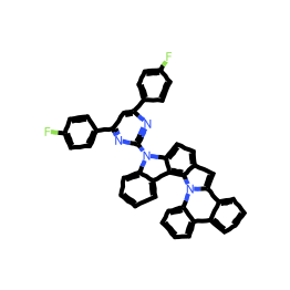 Fc1ccc(-c2cc(-c3ccc(F)cc3)nc(-n3c4ccccc4c4c3ccc3cc5c6ccccc6c6ccccc6n5c34)n2)cc1